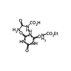 CCOC(N)=O.NC(=O)NC(=O)O.O=c1[nH]c(=O)[nH]c(=O)[nH]1